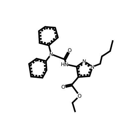 CCCCn1cc(C(=O)OCC)c(NC(=O)N(c2ccccc2)c2ccccc2)n1